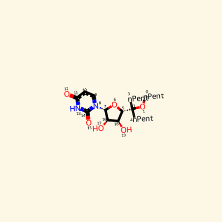 CCCCCOC(CCCCC)(CCCCC)[C@H]1O[C@@H](n2ccc(=O)[nH]c2=O)[C@H](O)[C@@H]1O